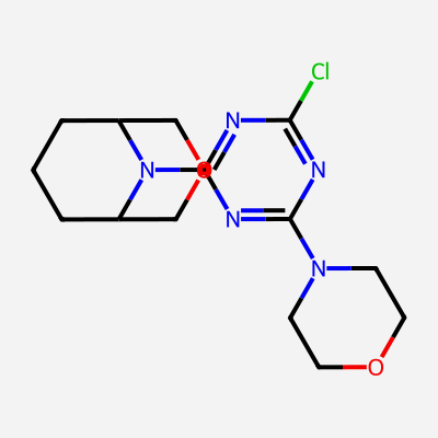 Clc1nc(N2CCOCC2)nc(N2C3CCCC2COC3)n1